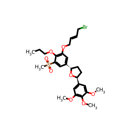 CCCOc1c(OCC=CCBr)cc([C@@H]2CC[C@@H](c3cc(OC)c(OC)c(OC)c3)O2)cc1S(C)(=O)=O